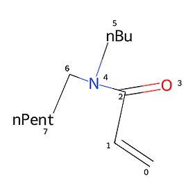 C=CC(=O)N(CCCC)CCCCCC